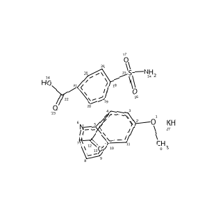 COc1cc2c3nc(ccc3c1)C2=O.NS(=O)(=O)c1ccc(C(=O)O)cc1.[KH]